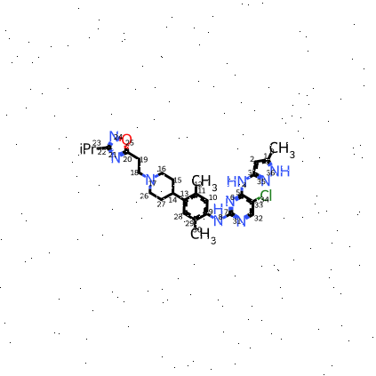 Cc1cc(Nc2nc(Nc3cc(C)c(C4CCN(CCc5nc(C(C)C)no5)CC4)cc3C)ncc2Cl)n[nH]1